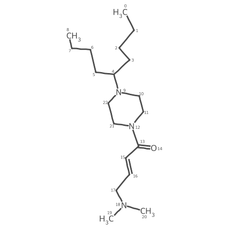 CCCCC(CCCC)N1CCN(C(=O)/C=C/CN(C)C)CC1